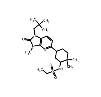 CCS(=O)(=O)NC1CC(c2ccc3c(n2)n(C)c(=O)n3CC(C)(C)C)CCC1(C)C